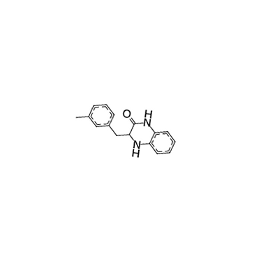 Cc1cccc(CC2Nc3ccccc3NC2=O)c1